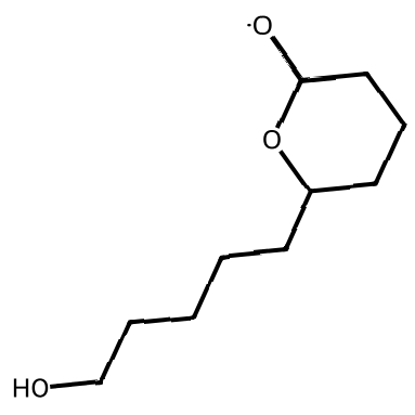 [O]C1CCCC(CCCCCO)O1